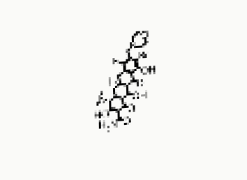 CN(C)[C@@H]1C(O)=C(C(N)=O)C(=O)C2C(O)=C3C(=O)c4c(O)c(Br)c(CN5CCOCC5)c(F)c4C[C@H]3CC21